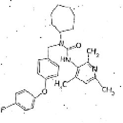 Cc1cc(C)c(NC(=O)N(Cc2ccc(Oc3ccc(F)cc3)cc2)C2CCCCCC2)c(C)n1